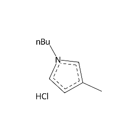 CCCCn1ccc(C)c1.Cl